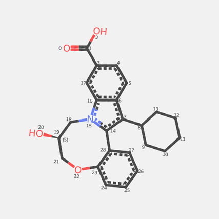 O=C(O)c1ccc2c(C3CCCCC3)c3n(c2c1)C[C@H](O)COc1ccccc1-3